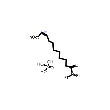 CCCCCCCC/C=C\CCCCCCCC(=O)N(CC)CC.O=P(O)(O)O